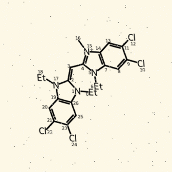 CCN1C(=Cc2n(CC)c3cc(Cl)c(Cl)cc3[n+]2C)N(CC)c2cc(Cl)c(Cl)cc21